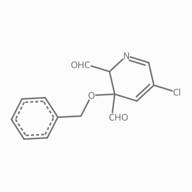 O=CC1N=CC(Cl)=CC1(C=O)OCc1ccccc1